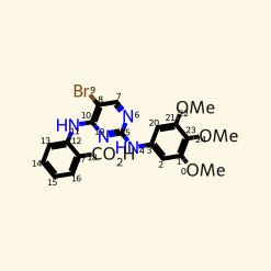 COc1cc(Nc2ncc(Br)c(Nc3ccccc3C(=O)O)n2)cc(OC)c1OC